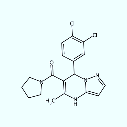 CC1=C(C(=O)N2CCCC2)C(c2ccc(Cl)c(Cl)c2)n2nccc2N1